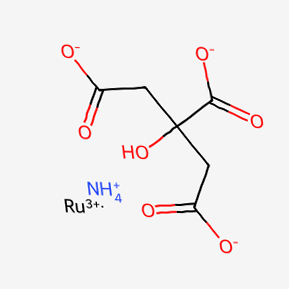 O=C([O-])CC(O)(CC(=O)[O-])C(=O)[O-].[NH4+].[Ru+3]